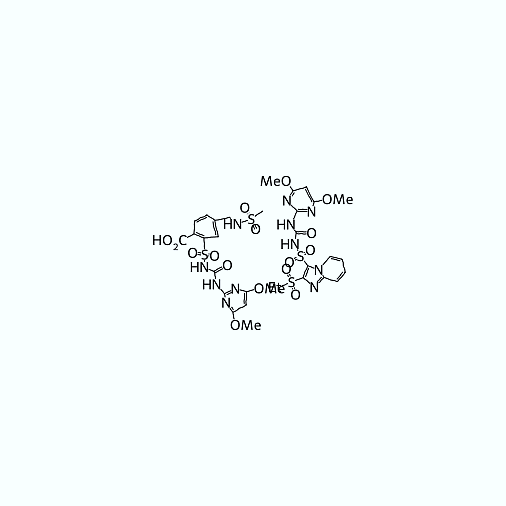 CCS(=O)(=O)c1nc2ccccn2c1S(=O)(=O)NC(=O)Nc1nc(OC)cc(OC)n1.COc1cc(OC)nc(NC(=O)NS(=O)(=O)c2cc(CNS(C)(=O)=O)ccc2C(=O)O)n1